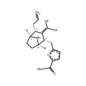 C=CC[C@@H]1C(=C(C#N)C#N)[C@H](Cc2ccc(C(=O)OC)o2)[C@H]2CC[C@@H]1N2